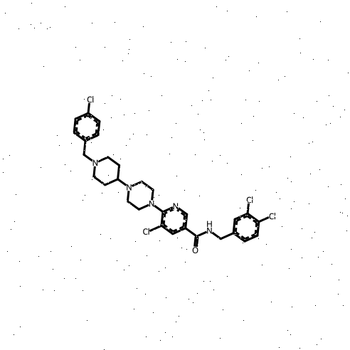 O=C(NCc1ccc(Cl)c(Cl)c1)c1cnc(N2CCN(C3CCN(Cc4ccc(Cl)cc4)CC3)CC2)c(Cl)c1